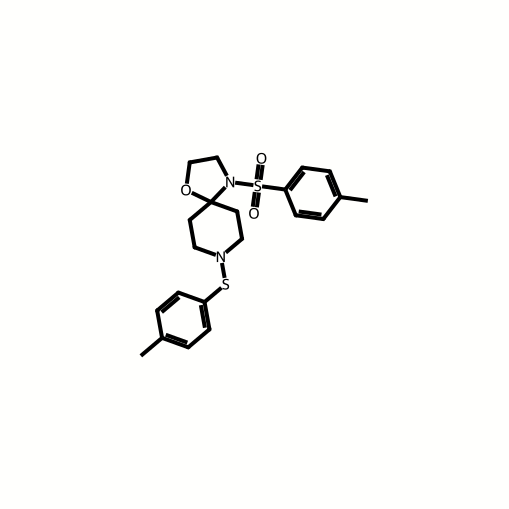 Cc1ccc(SN2CCC3(CC2)OCCN3S(=O)(=O)c2ccc(C)cc2)cc1